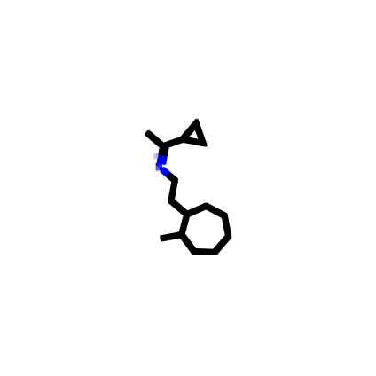 C/C(=N/CCC1CCCCCC1C)C1CC1